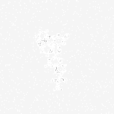 O=C(NC1CC1)c1ccc(OCC(=O)N2CCc3nc4n(c3C2c2ccc(Cl)cc2F)CCCC4)c(C2CC2)n1